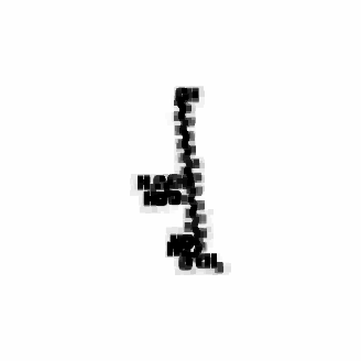 C=C(C)C(=O)O.CC(=CC(O)CCCCCCCCCCCCCCCCCCCCO)C(=O)O